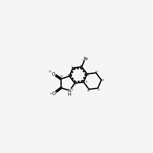 O=C1Nc2c(cc(Br)c3c2CCCC3)C1=O